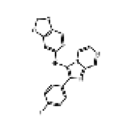 Fc1ccc(-c2nc3cnccn3c2Nc2ccc3c(c2)OCO3)cc1